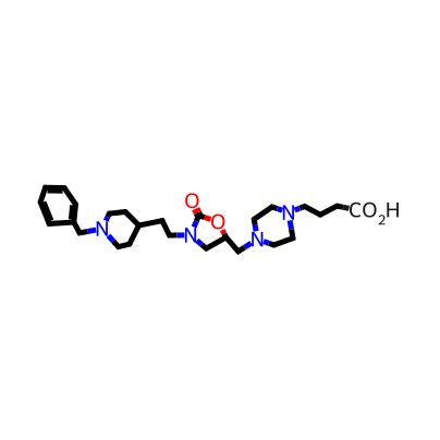 O=C(O)CCCN1CCN(CC2CN(CCC3CCN(Cc4ccccc4)CC3)C(=O)O2)CC1